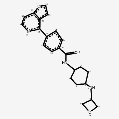 O=C(NC1CCC(NC2COC2)CC1)c1ccc(-c2nccc3occc23)cc1